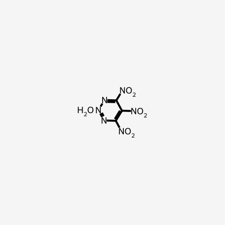 O.O=[N+]([O-])c1nnnc([N+](=O)[O-])c1[N+](=O)[O-]